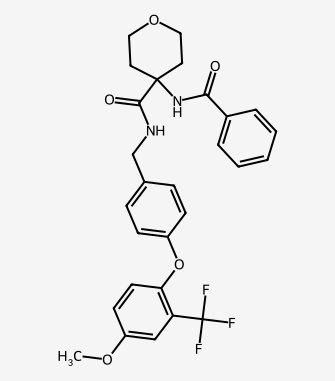 COc1ccc(Oc2ccc(CNC(=O)C3(NC(=O)c4ccccc4)CCOCC3)cc2)c(C(F)(F)F)c1